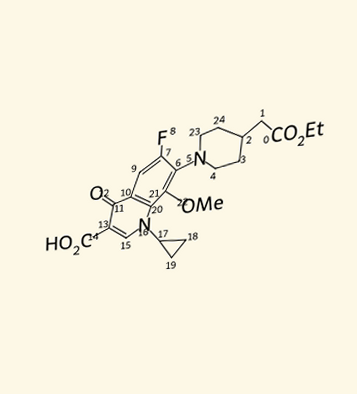 CCOC(=O)CC1CCN(c2c(F)cc3c(=O)c(C(=O)O)cn(C4CC4)c3c2OC)CC1